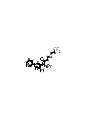 CCCN(C(=O)CCSCCC(F)(F)F)c1cn(-c2cccnc2)nc1Cl